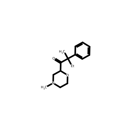 CCC(C)(C(=O)C1CN(C)CCO1)c1ccccc1